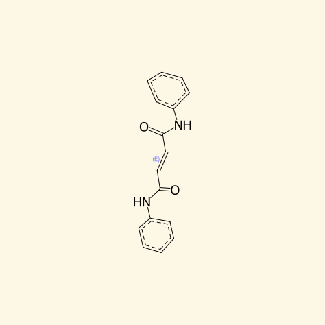 O=C(/C=C/C(=O)Nc1ccccc1)Nc1ccccc1